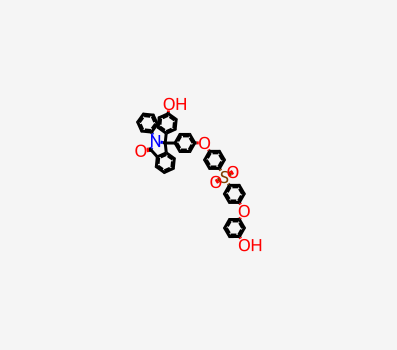 O=C1c2ccccc2C(c2ccc(O)cc2)(c2ccc(Oc3ccc(S(=O)(=O)c4ccc(Oc5cccc(O)c5)cc4)cc3)cc2)N1c1ccccc1